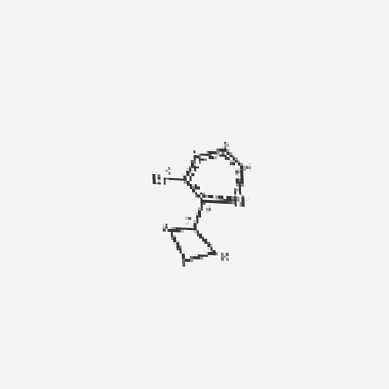 Brc1cccnc1C1CCC1